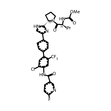 COC(=O)N[C@H](C(=O)N1CCC[C@H]1c1nc(-c2ccc(-c3cc(Cl)c(NC(=O)c4ccc(F)nc4)cc3C(F)(F)F)cc2)c[nH]1)C(C)C